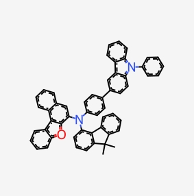 CC1(C)c2ccccc2-c2c(N(c3ccc(-c4ccc5c(c4)c4ccccc4n5-c4ccccc4)cc3)c3cc4ccccc4c4c3oc3ccccc34)cccc21